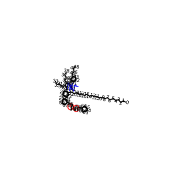 CCCCCCCCCCCCCCCCCCC=CCCc1ccccc1C1=C(CCCC)C(CCCC)=C(c2cccc(CCCC)c2)[N+]1=[N-].c1ccc(C[O][Ni][O]Cc2ccccc2)cc1